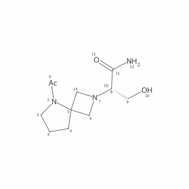 CC(=O)N1CCCC12CN([C@@H](CO)C(N)=O)C2